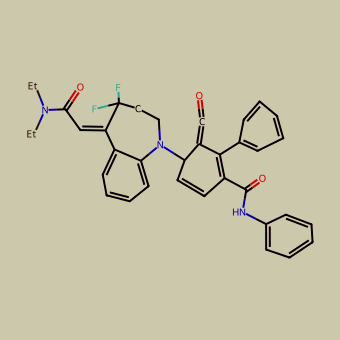 CCN(CC)C(=O)C=C1c2ccccc2N(C2C=CC(C(=O)Nc3ccccc3)=C(c3ccccc3)C2=C=O)CCC1(F)F